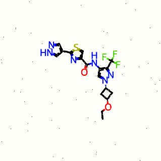 CCO[C@H]1C[C@H](n2cc(NC(=O)c3csc(-c4cn[nH]c4)n3)c(C(F)(F)F)n2)C1